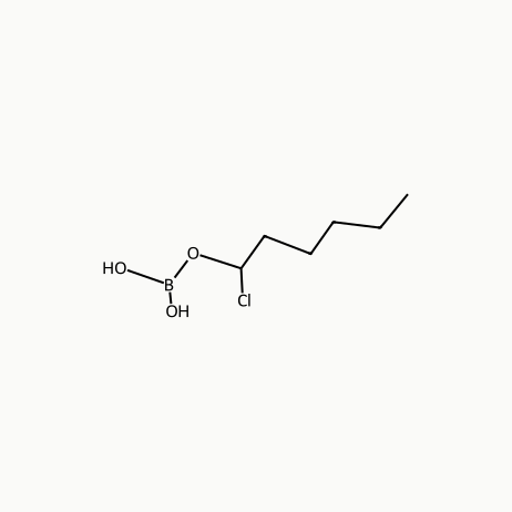 CCCCCC(Cl)OB(O)O